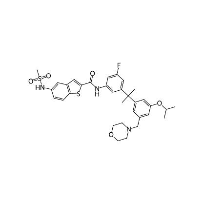 CC(C)Oc1cc(CN2CCOCC2)cc(C(C)(C)c2cc(F)cc(NC(=O)c3cc4cc(NS(C)(=O)=O)ccc4s3)c2)c1